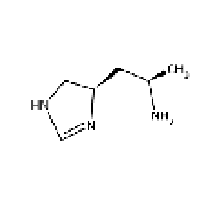 C[C@@H](N)C[C@@H]1CNC=N1